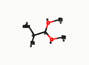 CCCCC(CC)C(OCC)OCC